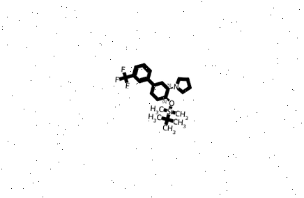 CC(C)(C)[Si](C)(C)O[C@H]1CCC(c2cccc(C(F)(F)F)c2)C[C@@H]1N1CCCC1